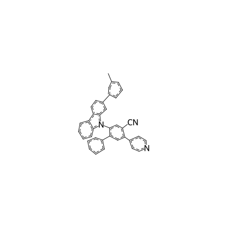 Cc1cccc(-c2ccc3c4ccccc4n(-c4cc(C#N)c(-c5ccncc5)cc4-c4ccccc4)c3c2)c1